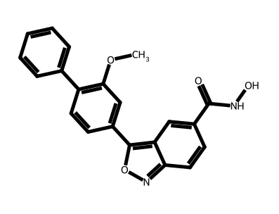 COc1cc(-c2onc3ccc(C(=O)NO)cc23)ccc1-c1ccccc1